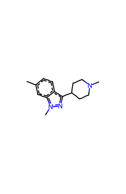 Cc1ccc2c(C3CCN(C)CC3)nn(C)c2c1